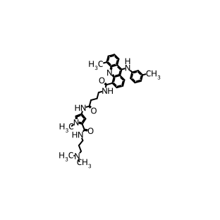 Cc1cccc(Nc2c3cccc(C)c3nc3c(C(=O)NCCCC(=O)Nc4cc(C(=O)NCCCN(C)C)n(C)c4)cccc23)c1